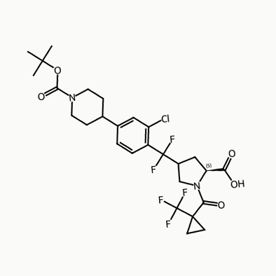 CC(C)(C)OC(=O)N1CCC(c2ccc(C(F)(F)C3C[C@@H](C(=O)O)N(C(=O)C4(C(F)(F)F)CC4)C3)c(Cl)c2)CC1